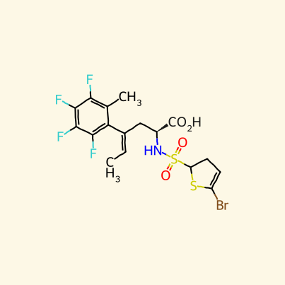 C/C=C(/C[C@H](NS(=O)(=O)C1CC=C(Br)S1)C(=O)O)c1c(C)c(F)c(F)c(F)c1F